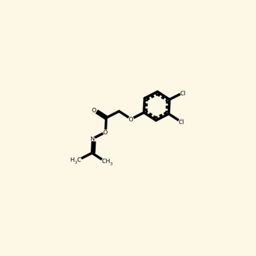 CC(C)=NOC(=O)COc1ccc(Cl)c(Cl)c1